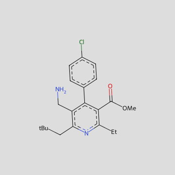 CCc1nc(CC(C)(C)C)c(CN)c(-c2ccc(Cl)cc2)c1C(=O)OC